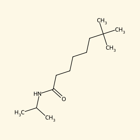 CC(C)NC(=O)CCCCCC(C)(C)C